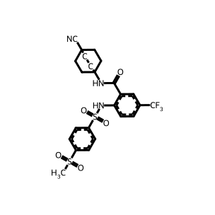 CS(=O)(=O)c1ccc(S(=O)(=O)Nc2ccc(C(F)(F)F)cc2C(=O)NC23CCC(C#N)(CC2)CC3)cc1